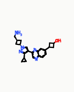 NC[C@H]1C[C@H](n2cc(-c3cnc4ccc(C5CC(O)C5)cc4n3)c(C3CC3)n2)C1